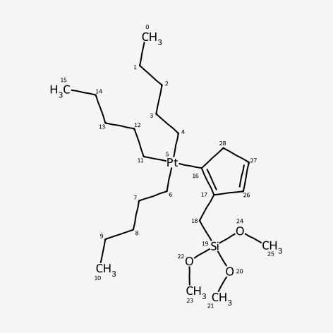 CCCC[CH2][Pt]([CH2]CCCC)([CH2]CCCC)[C]1=C(C[Si](OC)(OC)OC)C=CC1